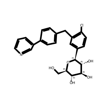 OC[C@H]1O[C@@H](c2ccc(Cl)c(Cc3ccc(-c4cccnc4)cc3)c2)[C@H](O)[C@@H](O)[C@@H]1O